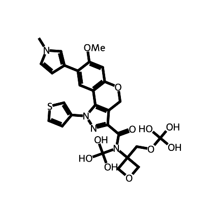 COc1cc2c(cc1-c1ccn(C)c1)-c1c(c(C(=O)N(C(O)(O)O)C3(COC(O)(O)O)COC3)nn1-c1ccsc1)CO2